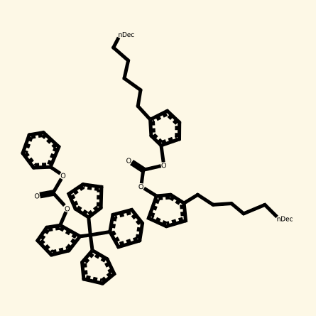 CCCCCCCCCCCCCCCc1cccc(OC(=O)Oc2cccc(CCCCCCCCCCCCCCC)c2)c1.O=C(Oc1ccccc1)Oc1ccccc1C(c1ccccc1)(c1ccccc1)c1ccccc1